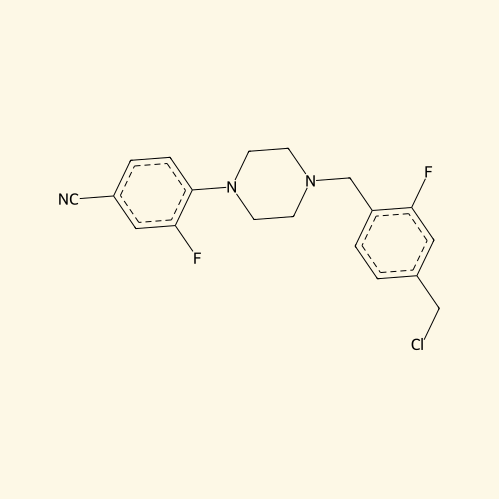 N#Cc1ccc(N2CCN(Cc3ccc(CCl)cc3F)CC2)c(F)c1